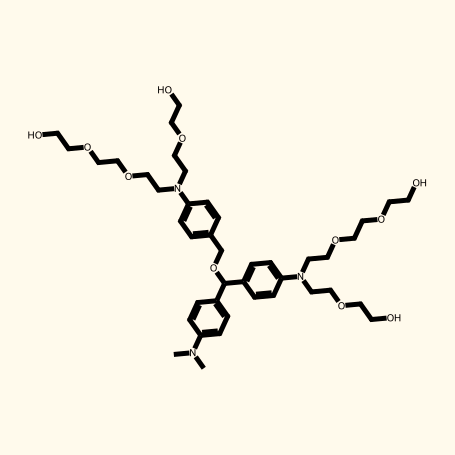 CN(C)c1ccc(C(OCc2ccc(N(CCOCCO)CCOCCOCCO)cc2)c2ccc(N(CCOCCO)CCOCCOCCO)cc2)cc1